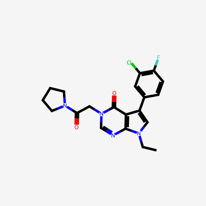 CCn1cc(-c2ccc(F)c(Cl)c2)c2c(=O)n(CC(=O)N3CCCC3)cnc21